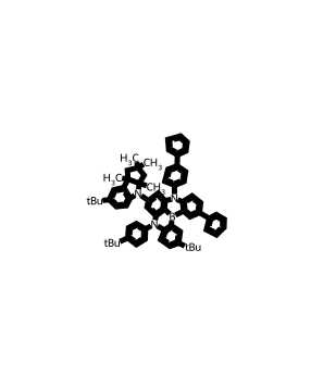 CC1(C)CC2(C)c3cc(C(C)(C)C)ccc3N(c3cc4c5c(c3)N(c3ccc(C(C)(C)C)cc3)c3ccc(C(C)(C)C)cc3B5c3cc(-c5ccccc5)ccc3N4c3ccc(-c4ccccc4)cc3)C2(C)C1